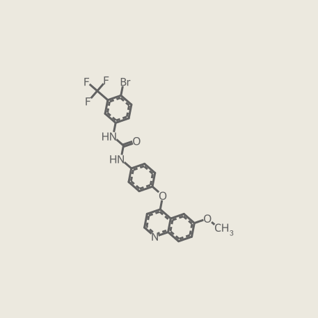 COc1ccc2nccc(Oc3ccc(NC(=O)Nc4ccc(Br)c(C(F)(F)F)c4)cc3)c2c1